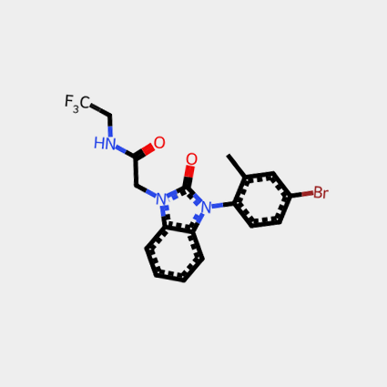 Cc1cc(Br)ccc1-n1c(=O)n(CC(=O)NCC(F)(F)F)c2ccccc21